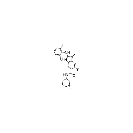 Cn1c(Nc2c(F)cccc2Cl)nc2cc(C(=O)NC3CCCC(C)(C)C3)c(F)cc21